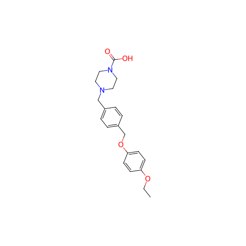 CCOc1ccc(OCc2ccc(CN3CCN(C(=O)O)CC3)cc2)cc1